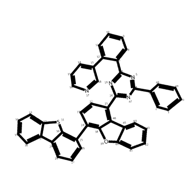 c1ccc(-c2nc(-c3ccccc3-c3cccnc3)nc(-c3ccc(-c4cccc5c4sc4ccccc45)c4oc5ccccc5c34)n2)cc1